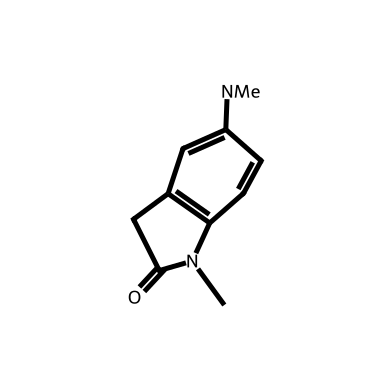 CNc1ccc2c(c1)CC(=O)N2C